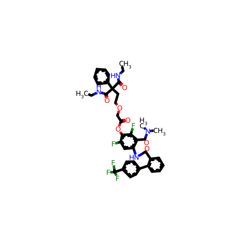 CCNC(=O)C(CCOCC(=O)Oc1c(F)cc(NC(=O)c2ccccc2-c2ccc(C(F)(F)F)cc2)c(C(=O)N(C)C)c1F)(C(=O)NCC)c1ccccc1